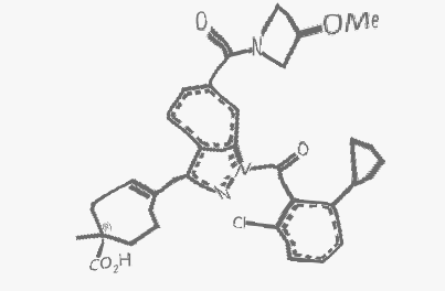 COC1CN(C(=O)c2ccc3c(C4=CC[C@](C)(C(=O)O)CC4)nn(C(=O)c4c(Cl)cccc4C4CC4)c3c2)C1